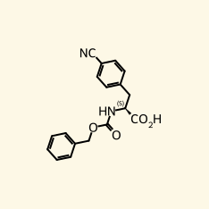 N#Cc1ccc(C[C@H](NC(=O)OCc2ccccc2)C(=O)O)cc1